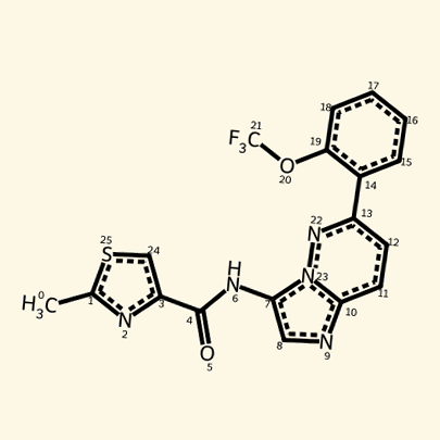 Cc1nc(C(=O)Nc2cnc3ccc(-c4ccccc4OC(F)(F)F)nn23)cs1